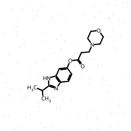 CC(C)c1nc2ccc(OC(=O)CCN3CCOCC3)cc2[nH]1